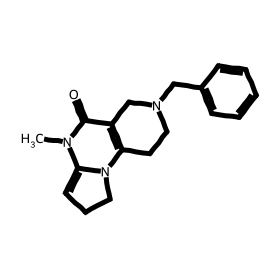 CN1C(=O)C2=C(CCN(Cc3ccccc3)C2)N2CCC=C12